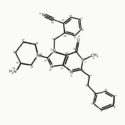 Cn1c(CCc2ccccc2)nc2nc(N3CCCC(N)C3)n(Cc3ccccc3C#N)c2c1=O